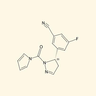 N#Cc1cc(F)cc([C@@H]2CC=NN2C(=O)n2cccc2)c1